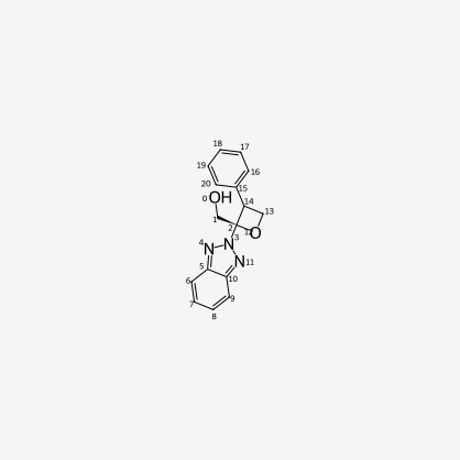 OC[C@]1(n2nc3ccccc3n2)OCC1c1ccccc1